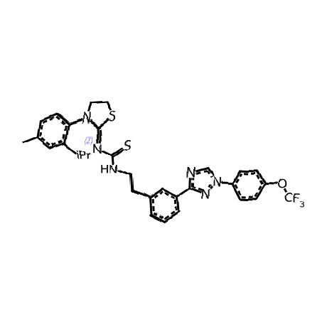 Cc1ccc(N2CCS/C2=N\C(=S)NCCc2cccc(-c3ncn(-c4ccc(OC(F)(F)F)cc4)n3)c2)c(C(C)C)c1